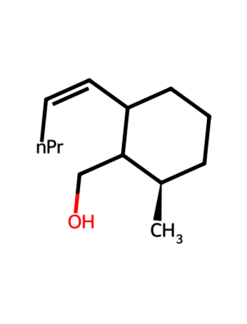 CCC/C=C\C1CCC[C@@H](C)C1CO